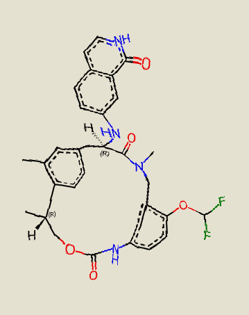 Cc1cc2ccc1[C@@H](C)COC(=O)Nc1ccc(OC(F)F)c(c1)CN(C)C(=O)[C@@H]2Nc1ccc2cc[nH]c(=O)c2c1